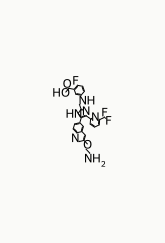 NCCOc1cnc2ccc(-c3[nH]c(CNc4ccc(F)c(C(=O)O)c4)nc3-c3cccc(C(F)F)n3)cc2c1